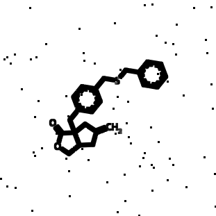 C=C1CC2COC(=O)C2(Cc2ccc(CSCc3ccccc3)cc2)C1